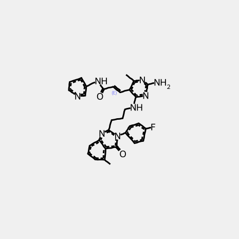 Cc1nc(N)nc(NCCCc2nc3cccc(C)c3c(=O)n2-c2ccc(F)cc2)c1/C=C/C(=O)Nc1cccnc1